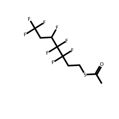 CC(=O)SCCC(F)(F)C(F)(F)C(F)CC(F)(F)F